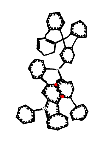 C1=CC2=C(CC1)C1(c3ccccc32)c2ccccc2-c2ccc(N(c3ccc(-c4ccccc4)cc3)c3ccccc3-c3ccc4c5ccccc5n(-c5ccccc5)c4c3)cc21